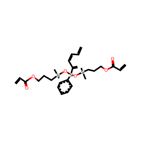 C=C/C=C\C(=C)[Si](O[Si](C)(C)CCCOC(=O)C=C)(O[Si](C)(C)CCCOC(=O)C=C)c1ccccc1